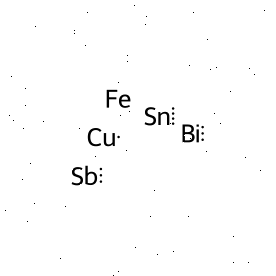 [Bi].[Cu].[Fe].[Sb].[Sn]